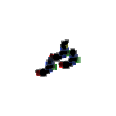 COc1ccc(Cn2cc3nc(-c4ccc(C)s4)nc(Cl)c3n2)cc1.COc1ccc(Cn2cc3nc(C4CCC4)nc(Cl)c3n2)cc1.COc1ccc(Cn2cc3nc(CN(C)C)nc(Cl)c3n2)cc1